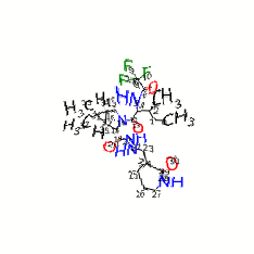 CC[C@H](C)[C@H](NC(=O)C(F)(F)F)C(=O)N1C[C@H]2[C@@H]([C@H]1C(=O)NNC[C@@H]1CCCNC1=O)C2(C)C